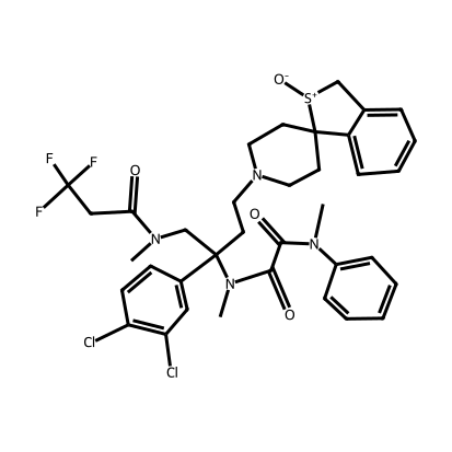 CN(CC(CCN1CCC2(CC1)c1ccccc1C[S+]2[O-])(c1ccc(Cl)c(Cl)c1)N(C)C(=O)C(=O)N(C)c1ccccc1)C(=O)CC(F)(F)F